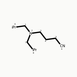 CC(C)CN(CCCC#N)CC(C)C